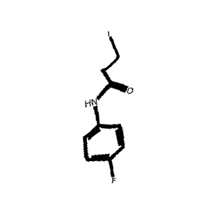 O=C(CCI)Nc1ccc(F)cc1